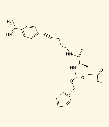 N=C(N)c1ccc(C#CCCCNC(=O)[C@@H](CCC(=O)O)NC(=O)OCc2ccccc2)cc1